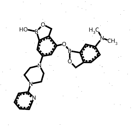 CN(C)c1ccc2c(c1)B(Oc1cc(N3CCN(c4ccccn4)CC3)cc3c1COB3O)OC2